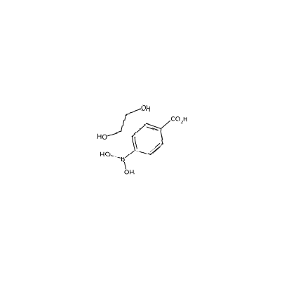 O=C(O)c1ccc(B(O)O)cc1.OCCO